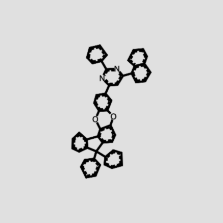 c1ccc(-c2nc(-c3ccc4c(c3)Oc3ccc5c(c3O4)-c3ccccc3C5(c3ccccc3)c3ccccc3)cc(-c3cccc4ccccc34)n2)cc1